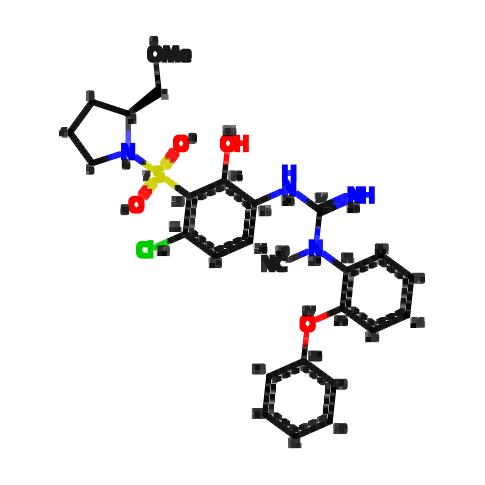 COC[C@@H]1CCCN1S(=O)(=O)c1c(Cl)ccc(NC(=N)N(C#N)c2ccccc2Oc2ccccc2)c1O